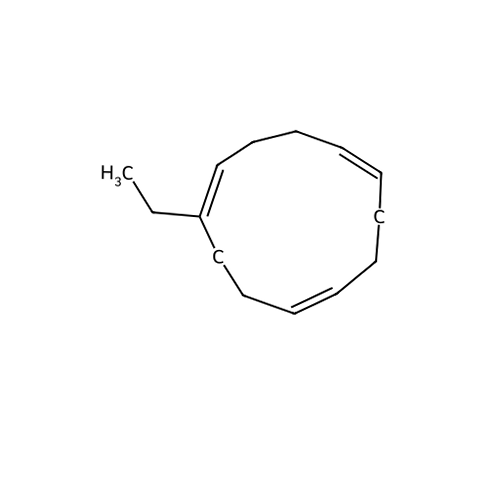 CC/C1=C/CCC=CCCC=CCC1